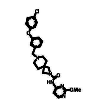 COc1nccc(NC(=O)N2CC3(CCN(Cc4cccc(Oc5ccc(Cl)cc5)c4)CC3)C2)n1